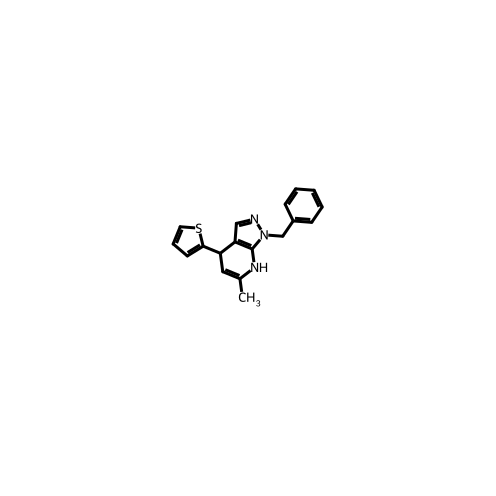 CC1=CC(c2cccs2)c2cnn(Cc3ccccc3)c2N1